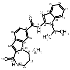 CC(C)n1c(NC(=O)c2ccc3cc4n(c3c2)[C@H](C)CCNC4=O)nc2ccccc21